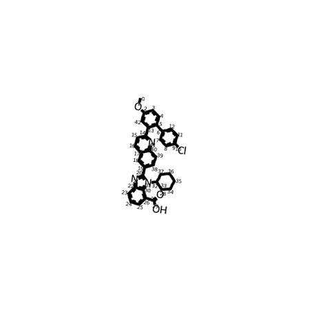 COc1ccc(-c2ccc(Cl)cc2)c(-c2ccc3cc(-c4nc5cccc(C(=O)O)c5n4C4CCCCC4)ccc3n2)c1